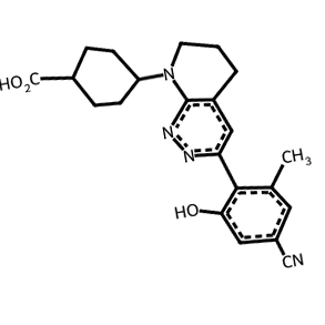 Cc1cc(C#N)cc(O)c1-c1cc2c(nn1)N(C1CCC(C(=O)O)CC1)CCC2